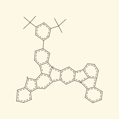 CC(C)(C)c1cc(-c2ccc3c4c5sc6ccccc6c5cc5c6cc7c(cc6n(c3c2)c54)c2cccc3c4ccccc4n7c32)cc(C(C)(C)C)c1